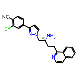 N#Cc1ccc(-c2ccn(C[C@H](N)CCc3nccc4ccccc34)n2)cc1Cl